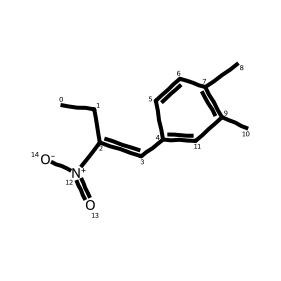 CC/C(=C\c1ccc(C)c(C)c1)[N+](=O)[O-]